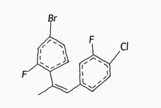 CC(=Cc1ccc(Cl)c(F)c1)c1ccc(Br)cc1F